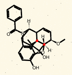 CO[C@]12C=C[C@@]3(C[C@@H]1[C@](C)(O)C(C)(C)C)[C@H]1Cc4ccc(O)c5c4[C@@]3(CCN1C(=O)c1ccccc1)[C@H]2O5